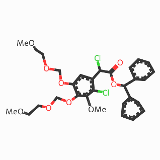 COCCOCOc1cc(C(Cl)C(=O)OC(c2ccccc2)c2ccccc2)c(Cl)c(OC)c1OCOCCOC